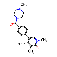 Cc1c(-c2ccc(C(=O)N3CCN(C)CC3)cc2)cn(C)c(=O)c1C